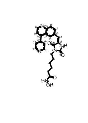 O=C(CCCCCN1C(=O)NC(=Cc2ccc3nccc(-c4ccncc4)c3c2)C1=O)NO